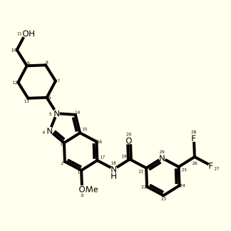 COc1cc2nn(C3CCC(CO)CC3)cc2cc1NC(=O)c1cccc(C(F)F)n1